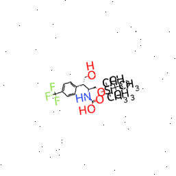 CC(C)(C)[Si](C)(C)OC[C@@H](NC(=O)O)[C@@H](CO)c1ccc(C(F)(F)F)cc1